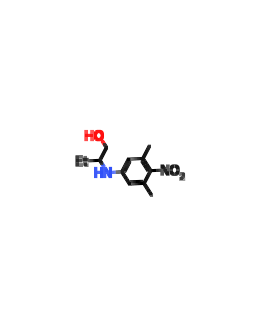 CCC(CO)Nc1cc(C)c([N+](=O)[O-])c(C)c1